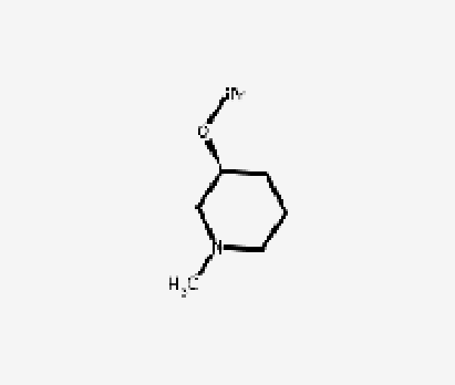 CC(C)O[C@H]1CCCN(C)C1